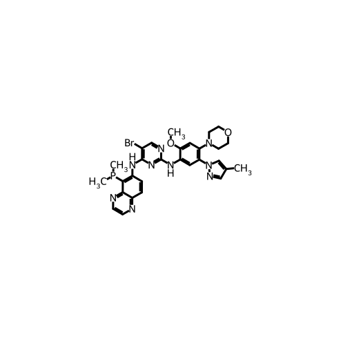 COc1cc(N2CCOCC2)c(-n2cc(C)cn2)cc1Nc1ncc(Br)c(Nc2ccc3nccnc3c2P(C)C)n1